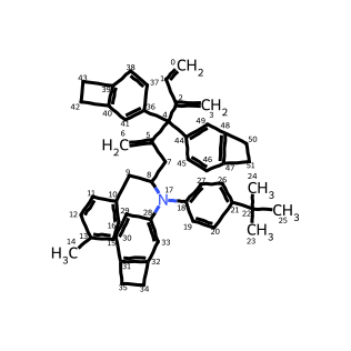 C=CC(=C)C(C(=C)CC(Cc1ccc(C)cc1)N(c1ccc(C(C)(C)C)cc1)c1ccc2c(c1)CC2)(c1ccc2c(c1)CC2)c1ccc2c(c1)CC2